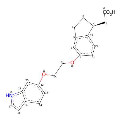 O=C(O)C[C@@H]1CCc2cc(OCCOc3ccc4cc[nH]c4c3)ccc21